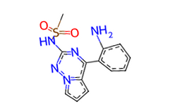 CS(=O)(=O)Nc1nc(-c2ccccc2N)c2cccn2n1